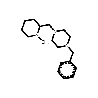 CN1CCCCC1CN1CCN(Cc2ccccc2)CC1